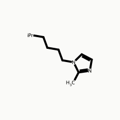 Cc1nccn1CCCCC(C)C